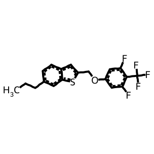 CCCc1ccc2cc(COc3cc(F)c(C(F)(F)F)c(F)c3)sc2c1